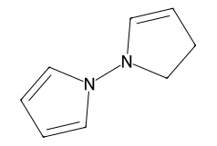 C1=CN(n2cccc2)CC1